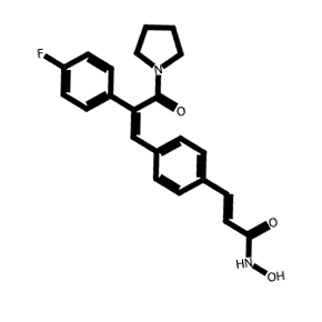 O=C(/C=C/c1ccc(/C=C(\C(=O)N2CCCC2)c2ccc(F)cc2)cc1)NO